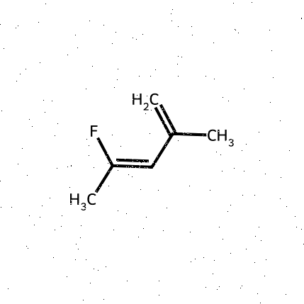 C=C(C)/C=C(/C)F